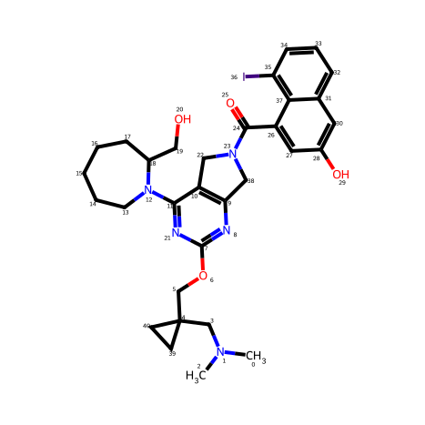 CN(C)CC1(COc2nc3c(c(N4CCCCCC4CO)n2)CN(C(=O)c2cc(O)cc4cccc(I)c24)C3)CC1